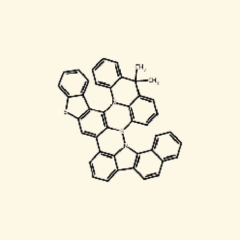 CC1(C)c2ccccc2N2c3c(cccc31)B1c3c(cc4sc5ccccc5c4c32)-c2cccc3c4ccc5ccccc5c4n1c23